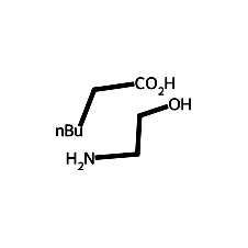 CCCCCC(=O)O.NCCO